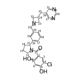 O=C(c1cc(Cl)c(O)cc1O)N1CCCC1c1cccc(CN2CC(Cc3cncnc3)C2)c1